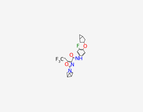 O=C(Nc1ccc(OC2CC3CC3C2)c(F)c1)c1nc(N2CC3C4C3C42)oc1CC(F)(F)F